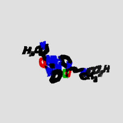 Cc1cc(C(=O)Nc2nc3cccc(Cl)c3n2C2CCCCN(C(=O)C=CCN(C)C(=O)O)C2)ccn1